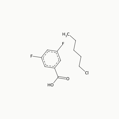 CCCCCCl.O=C(O)c1cc(F)cc(F)c1